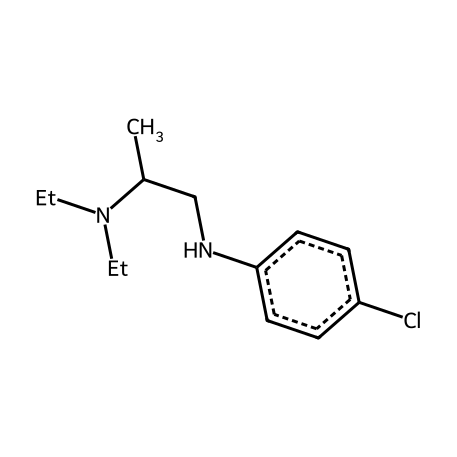 CCN(CC)C(C)CNc1ccc(Cl)cc1